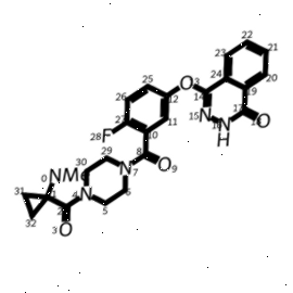 CNC1(C(=O)N2CCN(C(=O)c3cc(Oc4n[nH]c(=O)c5ccccc45)ccc3F)CC2)CC1